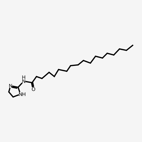 CCCCCCCCCCCCCCCCCC(=O)NC1=NCCN1